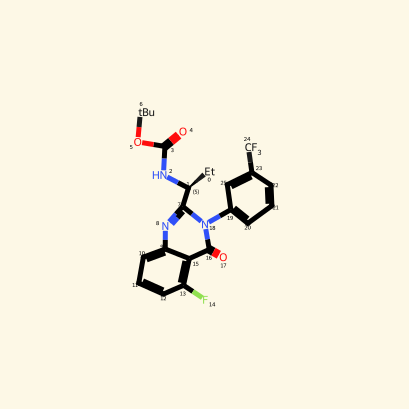 CC[C@H](NC(=O)OC(C)(C)C)c1nc2cccc(F)c2c(=O)n1-c1cccc(C(F)(F)F)c1